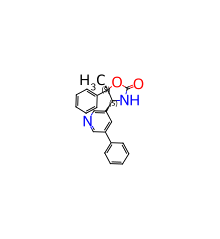 C[C@@]1(c2ccccc2)OC(=O)N[C@H]1c1cncc(-c2ccccc2)c1